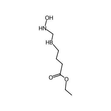 CCOC(=O)CCCBCNO